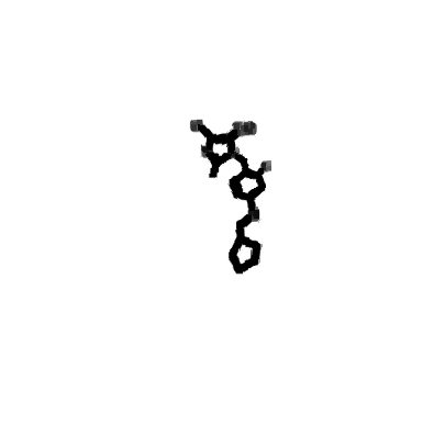 Cc1nc(Cl)c(C=O)n1Cc1ccc(OCC2CCCC2)cc1Cl